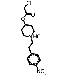 Cl.O=C(CCl)OC1CCN(CCc2ccc([N+](=O)[O-])cc2)CC1